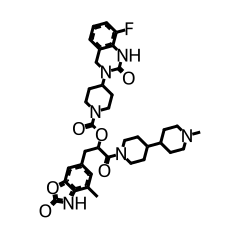 Cc1cc(CC(OC(=O)N2CCC(N3Cc4cccc(F)c4NC3=O)CC2)C(=O)N2CCC(C3CCN(C)CC3)CC2)cc2oc(=O)[nH]c12